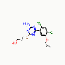 N#CCOc1cc(-c2nc(N)nc(SCCCO)n2)c(Cl)cc1Cl